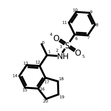 CC(NS(=O)(=O)c1ccccc1)c1cccc2c1CCC2